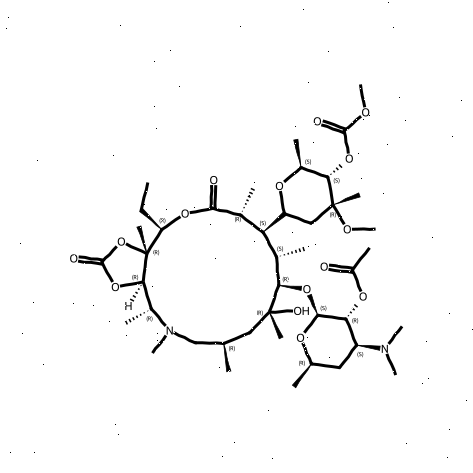 CC[C@H]1OC(=O)[C@H](C)[C@@H](C2C[C@@](C)(OC)[C@@H](OC(=O)OC)[C@H](C)O2)[C@H](C)[C@@H](O[C@@H]2O[C@H](C)C[C@H](N(C)C)[C@H]2OC(C)=O)[C@](C)(O)C[C@@H](C)CN(C)[C@H](C)[C@H]2OC(=O)O[C@@]21C